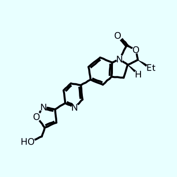 CC[C@@H]1OC(=O)N2c3ccc(-c4ccc(-c5cc(CO)on5)nc4)cc3C[C@@H]12